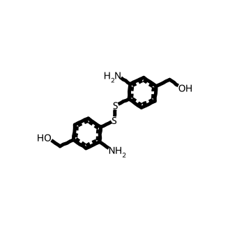 Nc1cc(CO)ccc1SSc1ccc(CO)cc1N